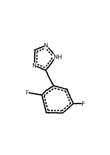 Fc1ccc(F)c(-c2n[c]n[nH]2)c1